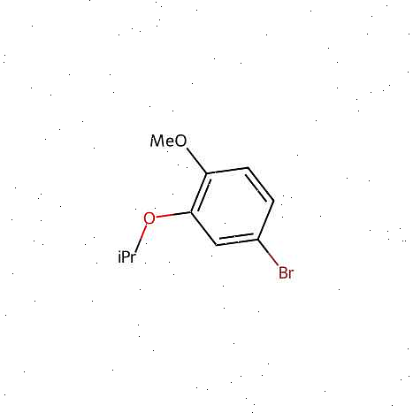 COc1ccc(Br)cc1OC(C)C